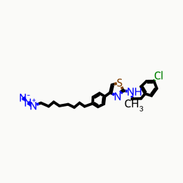 CC(Cc1ccc(Cl)cc1)Nc1nc(-c2ccc(CCCCCCCCN=[N+]=[N-])cc2)cs1